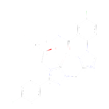 CNC(=O)c1cc(Cl)ccc1-n1cnc(Cn2nc(-c3ccc(Cl)cc3)n(C[C@H](O)C(F)(F)F)c2=O)n1